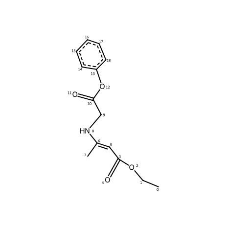 CCOC(=O)C=C(C)NCC(=O)Oc1ccccc1